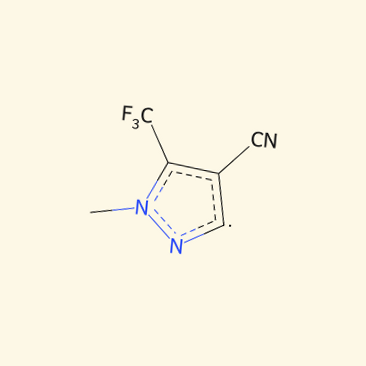 Cn1n[c]c(C#N)c1C(F)(F)F